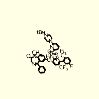 CN1C(=O)CN=C(c2ccccc2)c2cc(Cl)ccc21.Cc1ccc(F)cc1-c1nc(NS(=O)(=O)c2cccc(N3CCN(C(C)(C)C)CC3)n2)ccc1C(F)(F)F